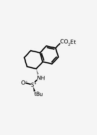 CCOC(=O)c1ccc2c(c1)CCC[C@H]2N[S@+]([O-])C(C)(C)C